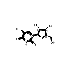 C[C@H]1C(n2cc(C=O)c(=O)[nH]c2=O)O[C@H](CO)[C@H]1O